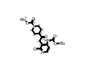 CC(C)(C)OC(=O)Nc1ccnc(Cl)c1CC(=O)C1CCN(C(=O)OC(C)(C)C)CC1